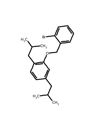 CC(C)Cc1ccc(CC(C)C)c(OCc2ccccc2Br)c1